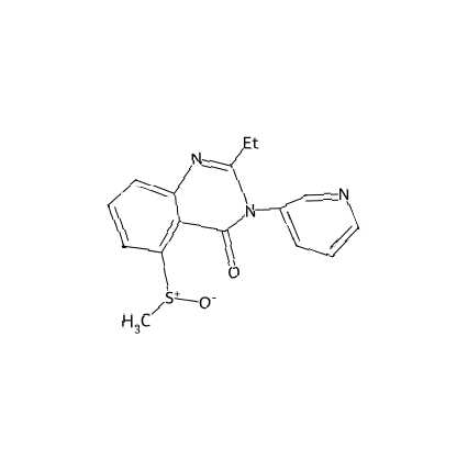 CCc1nc2cccc([S+](C)[O-])c2c(=O)n1-c1cccnc1